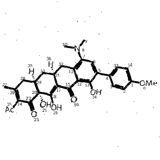 COc1ccc(-c2cc(N(C)C)c3c(c2O)C(=O)C2=C(O)[C@@]4(O)C(=O)C(C(C)=O)=C(C)C[C@H]4C[C@H]2C3)cc1